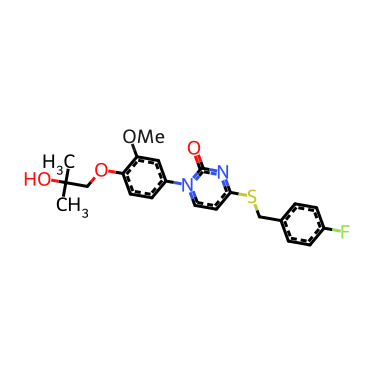 COc1cc(-n2ccc(SCc3ccc(F)cc3)nc2=O)ccc1OCC(C)(C)O